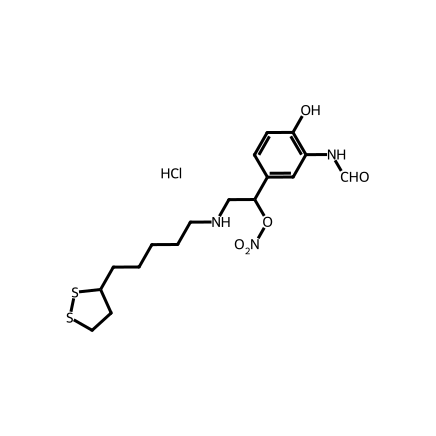 Cl.O=CNc1cc(C(CNCCCCCC2CCSS2)O[N+](=O)[O-])ccc1O